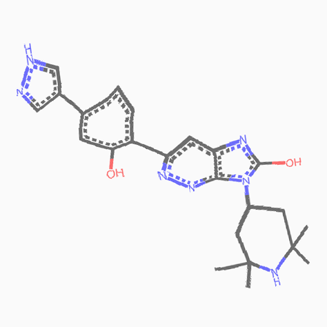 CC1(C)CC(n2c(O)nc3cc(-c4ccc(-c5cn[nH]c5)cc4O)nnc32)CC(C)(C)N1